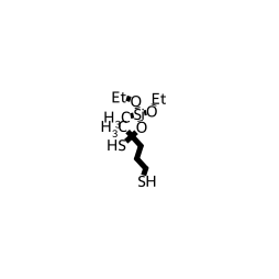 CCO[Si](C)(OCC)OC(C)(S)CCCS